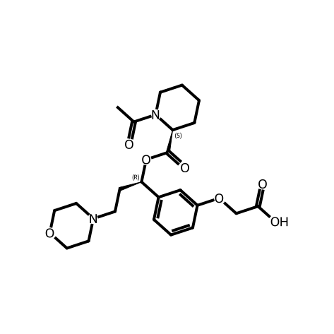 CC(=O)N1CCCC[C@H]1C(=O)O[C@H](CCN1CCOCC1)c1cccc(OCC(=O)O)c1